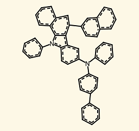 c1ccc(-c2ccc(N(c3ccccc3)c3ccc4c(c3)c3c(-c5ccc6ccccc6c5)cc5ccccc5c3n4-c3ccccc3)cc2)cc1